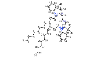 CCCCCCCCCCCCN1/C(=C\C=C\C2=[N+](CCCCCCCCCCCC)c3ccccc3C2(C)C)C(C)(C)c2ccccc21